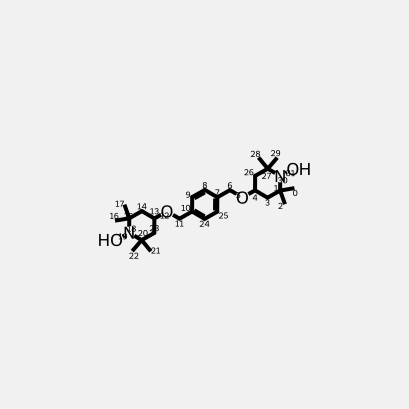 CC1(C)CC(OCc2ccc(COC3CC(C)(C)N(O)C(C)(C)C3)cc2)CC(C)(C)N1O